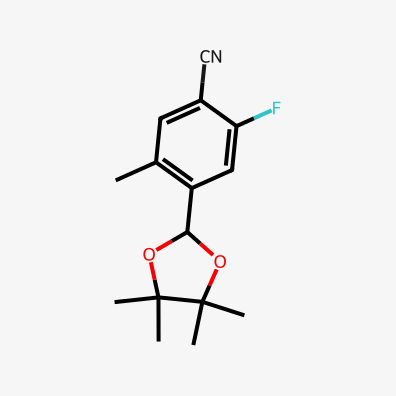 Cc1cc(C#N)c(F)cc1C1OC(C)(C)C(C)(C)O1